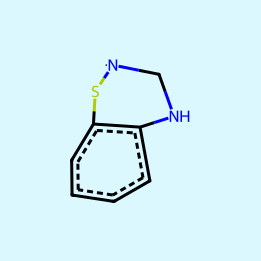 c1ccc2c(c1)NC[N]S2